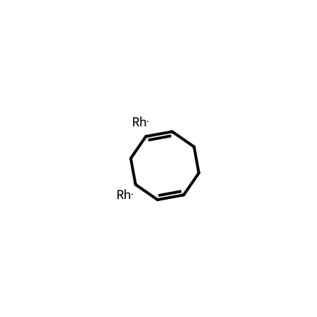 C1=CCCC=CCC1.[Rh].[Rh]